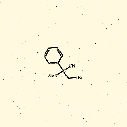 CSC(C#N)(CC(C)(C)C)c1ccccc1